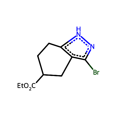 CCOC(=O)C1CCc2[nH]nc(Br)c2C1